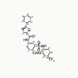 COc1ccc(NC(=O)c2cnc(-c3ccccc3)o2)cc1S(=O)(=O)Nc1ccc(C(F)(F)F)cc1